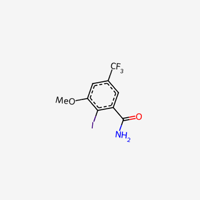 COc1cc(C(F)(F)F)cc(C(N)=O)c1I